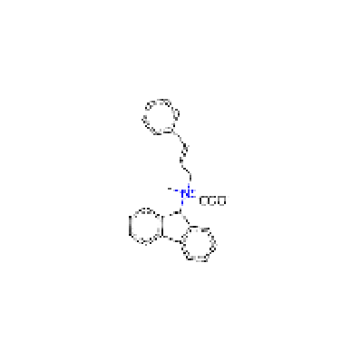 C[N+](CC=Cc1ccccc1)(C(=O)[O-])C1c2ccccc2-c2ccccc21